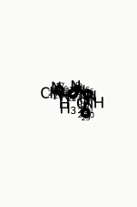 C[C@H](Nc1nccc(-n2cnc3cc(Nc4ccnc(Cl)n4)ccc32)n1)c1ccccc1